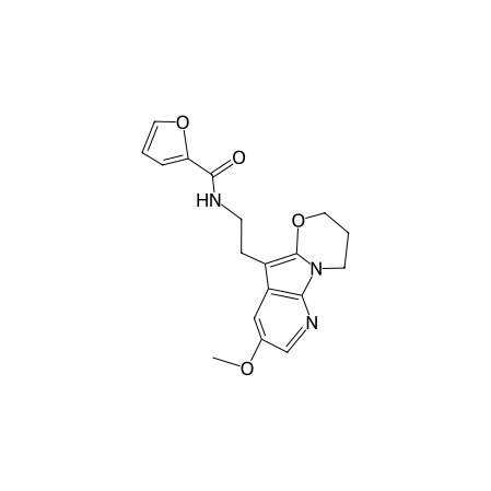 COc1cnc2c(c1)c(CCNC(=O)c1ccco1)c1n2CCCO1